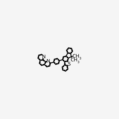 CC1(C)c2ccccc2-c2cc(-c3ccc(-c4ccc5ccc6cccnc6c5n4)cc3)c3c(sc4ccccc43)c21